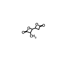 CC1C(=O)OC1C1CC(=O)O1